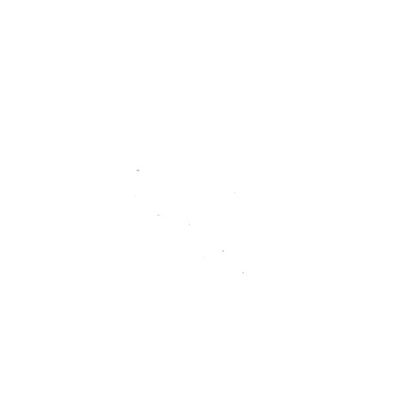 CCCC(OC(=O)Oc1ccccc1CC)c1ccccc1